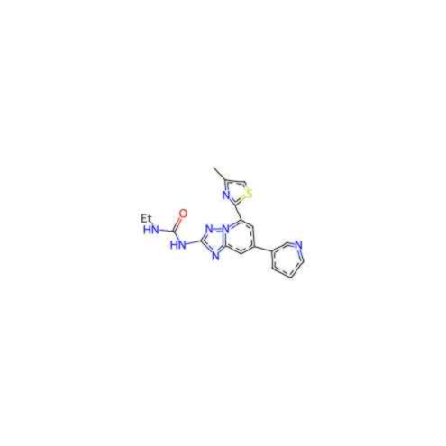 CCNC(=O)Nc1nc2cc(-c3cccnc3)cc(-c3nc(C)cs3)n2n1